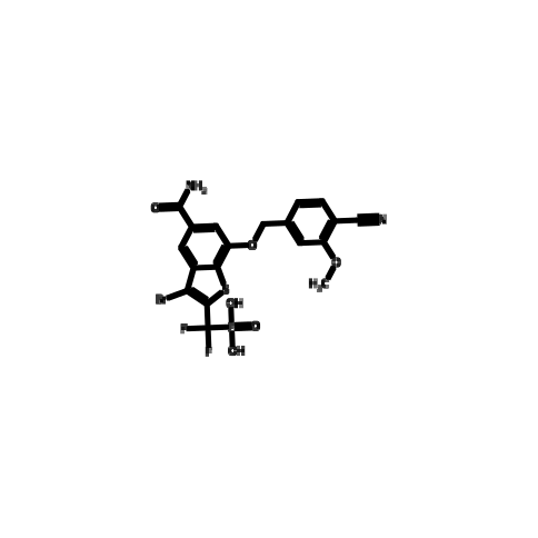 COc1cc(COc2cc(C(N)=O)cc3c(Br)c(C(F)(F)P(=O)(O)O)sc23)ccc1C#N